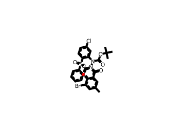 Cc1cc(Br)c2ncn(N(C(=O)OC(C)(C)C)c3cc(Cl)ccc3S(=O)(=O)c3ccccc3)c(=O)c2c1